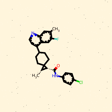 Cc1cc2nccc(C3CCC4(CC3)[C@H](C(=O)Nc3ccc(Cl)cc3)[C@@H]4C)c2cc1F